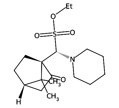 CCOS(=O)(=O)[C@H](N1CCCCC1)[C@]12CC[C@@H](CC1=O)C2(C)C